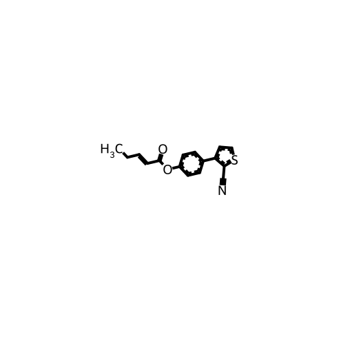 CCC=CC(=O)Oc1ccc(-c2ccsc2C#N)cc1